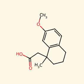 COc1ccc2c(c1)C(C)(CC(=O)O)CCC2